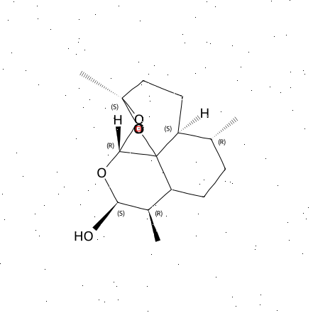 C[C@@H]1CCC2[C@@H](C)[C@@H](O)O[C@@H]3O[C@]4(C)CC[C@@H]1C23OO4